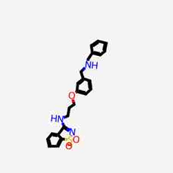 O=S1(=O)N=C(NCCCOc2cccc(CNCc3ccccc3)c2)c2ccccc21